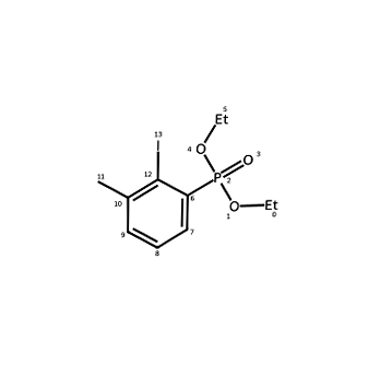 CCOP(=O)(OCC)c1cccc(C)c1I